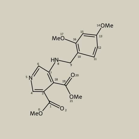 COC(=O)c1cncc(NCc2ccc(OC)cc2OC)c1C(=O)OC